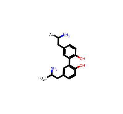 CC(=O)C(N)Cc1ccc(O)c(-c2cc(CC(N)C(=O)O)ccc2O)c1